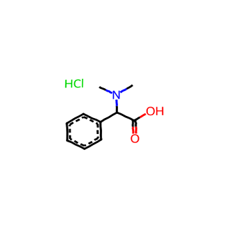 CN(C)C(C(=O)O)c1ccccc1.Cl